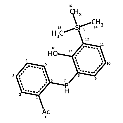 CC(=O)c1ccccc1Pc1cccc([Si](C)(C)C)c1O